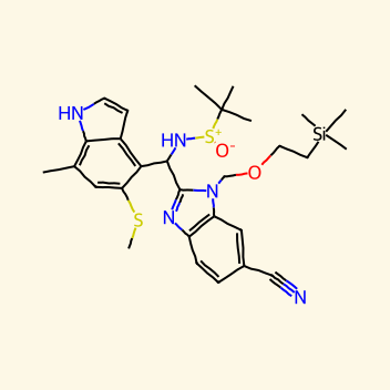 CSc1cc(C)c2[nH]ccc2c1C(N[S+]([O-])C(C)(C)C)c1nc2ccc(C#N)cc2n1COCC[Si](C)(C)C